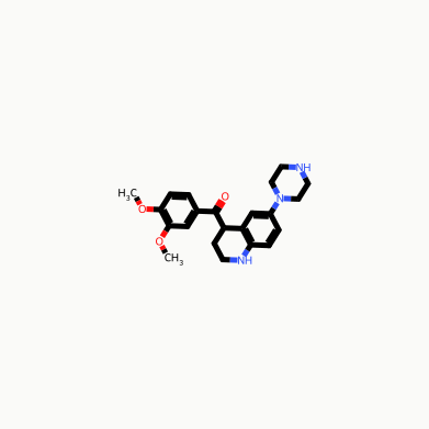 COc1ccc(C(=O)C2CCNc3ccc(N4CCNCC4)cc32)cc1OC